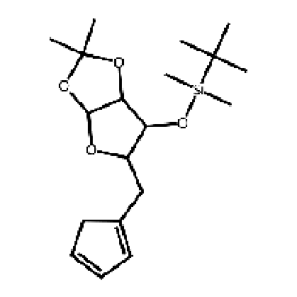 CC1(C)OC2OC(CC3=CC=CC3)C(O[Si](C)(C)C(C)(C)C)C2O1